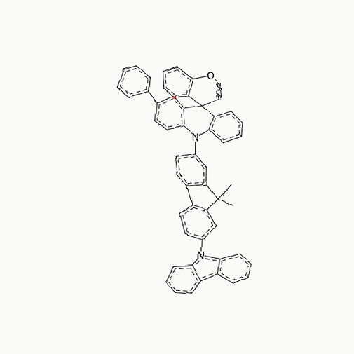 CC1(C)c2cc(N3c4ccccc4C4(c5ccccc5Oc5ccccc54)c4cc(-c5ccccc5)ccc43)ccc2-c2ccc(-n3c4ccccc4c4ccccc43)cc21